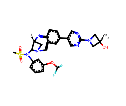 CS(=O)(=O)N1c2cccc(OC(F)F)c2[N@+]23C=c4cc(-c5cnc(N6CC(O)(C(F)(F)F)C6)nc5)ccc4=N[C@H](C2)C13